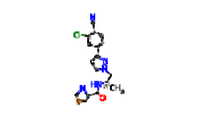 C[C@@H](Cn1ccc(-c2ccc(C#N)c(Cl)c2)n1)NC(=O)c1cscn1